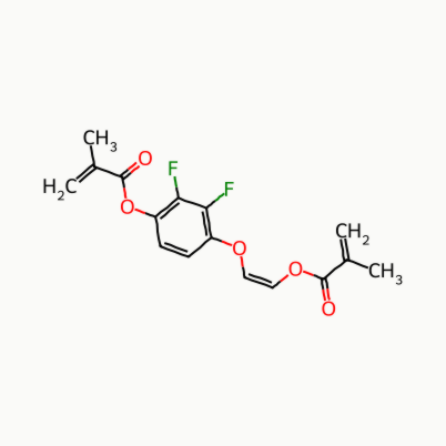 C=C(C)C(=O)O/C=C\Oc1ccc(OC(=O)C(=C)C)c(F)c1F